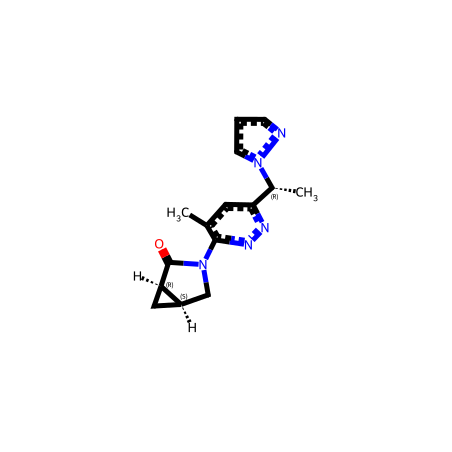 Cc1cc([C@@H](C)n2cccn2)nnc1N1C[C@H]2C[C@H]2C1=O